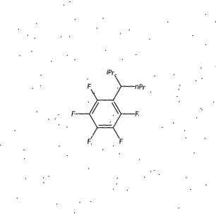 CCCC(c1c(F)c(F)c(F)c(F)c1F)C(C)C